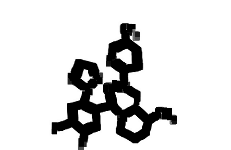 CC1CCCN(C(=O)c2cc(F)c(F)cc2-n2nccn2)[C@@H]1CNc1ccc(C(F)(F)F)cn1